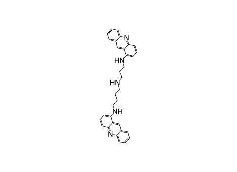 c1ccc2nc3cccc(NCCCCNCCCNc4cccc5nc6ccccc6cc45)c3cc2c1